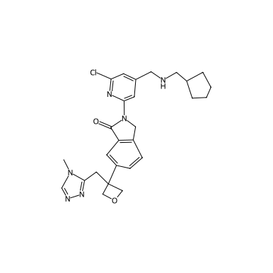 Cn1cnnc1CC1(c2ccc3c(c2)C(=O)N(c2cc(CNCC4CCCC4)cc(Cl)n2)C3)COC1